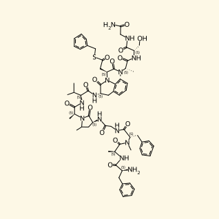 CC(C)[C@H](NC(=O)[C@H](C)N1C(=O)[C@@H](NC(=O)CNC(=O)[C@H](Cc2ccccc2)N(C)C(=O)[C@H](C)NC(=O)[C@@H](N)Cc2ccccc2)CC1C)C(=O)N[C@H]1Cc2ccccc2N([C@@H](CC(=O)SCc2ccccc2)C(=O)N(C)[C@@H](C)C(=O)N[C@@H](CO)C(=O)NCC(N)=O)C1=O